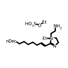 CCCCCCCCCCCCCCCC=CC1=NCC[N+]1(CC)CCN.CCOS(=O)(=O)O